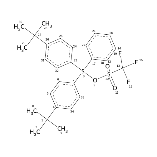 CC(C)(C)c1ccc(S(OS(=O)(=O)C(F)(F)F)(c2ccccc2)c2ccc(C(C)(C)C)cc2)cc1